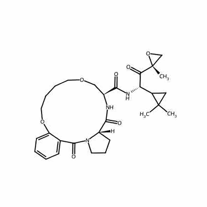 CC1(C)CC1[C@H](NC(=O)[C@@H]1COCCCCOc2ccccc2C(=O)N2CCC[C@H]2C(=O)N1)C(=O)[C@@]1(C)CO1